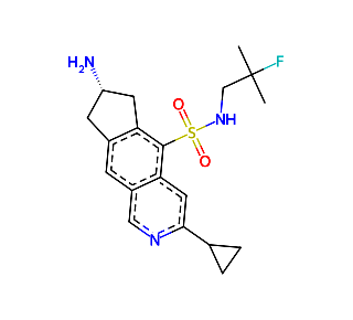 CC(C)(F)CNS(=O)(=O)c1c2c(cc3cnc(C4CC4)cc13)C[C@H](N)C2